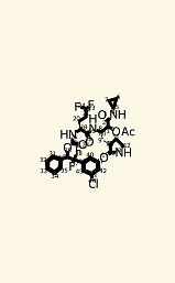 CC(=O)OC(C(=O)NC1CC1)[C@H](C[C@@H]1CCNC1=O)NC(=O)[C@H](CCC(F)F)NC(=O)OC(c1ccccc1)C(F)(F)c1cccc(Cl)c1